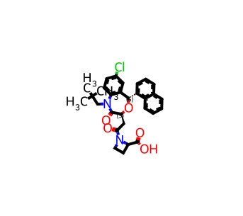 CC(C)(C)CN1C(=O)[C@H](CC(=O)N2CCC2C(=O)O)O[C@@H](c2cccc3ccccc23)c2cc(Cl)ccc21